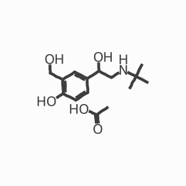 CC(=O)O.CC(C)(C)NCC(O)c1ccc(O)c(CO)c1